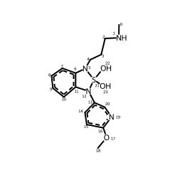 CNCCCN1c2ccccc2N(c2ccc(OC)nc2)S1(O)O